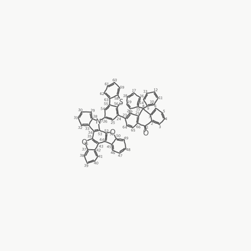 O=C1c2ccccc2C(c2ccccc2)(c2ccccc2)c2cc(-c3cc(-n4c5ccccc5c5c6oc7ccccc7c6c6c7ccccc7oc6c54)cc4c3sc3ccccc34)ccc21